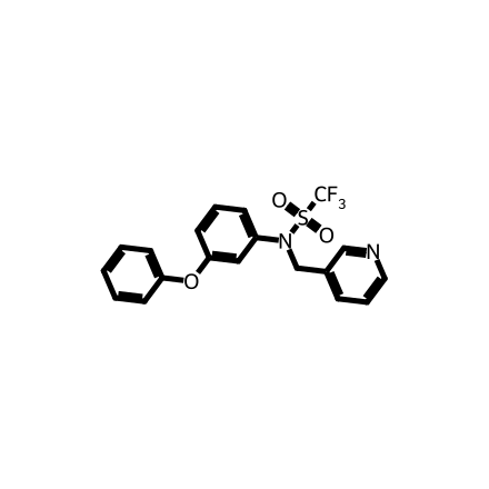 O=S(=O)(N(Cc1cccnc1)c1cccc(Oc2ccccc2)c1)C(F)(F)F